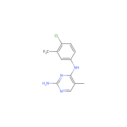 Cc1cnc(N)nc1Nc1ccc(Cl)c(C(F)(F)F)c1